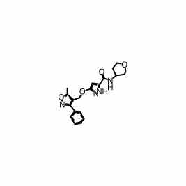 Cc1onc(-c2ccccc2)c1COc1cc(C(=O)NC2CCOCC2)[nH]n1